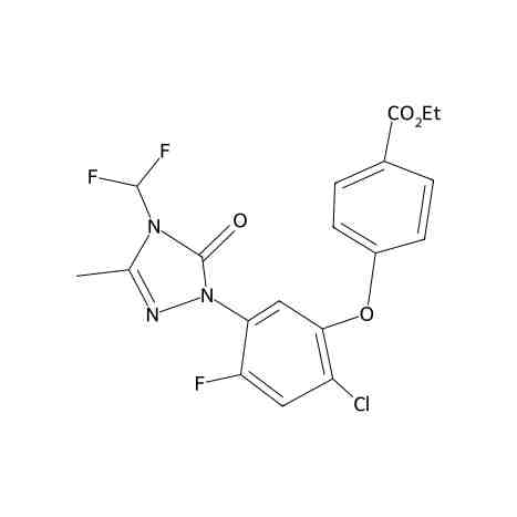 CCOC(=O)c1ccc(Oc2cc(-n3nc(C)n(C(F)F)c3=O)c(F)cc2Cl)cc1